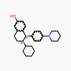 Oc1ccc2c(c1)CC[C@H](C1CCCCC1)[C@@H]2c1ccc(N2CCCCC2)cc1